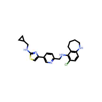 Clc1ccc2c(c1NCc1ccc(-c3csc(NCC4CC4)n3)cn1)CCCCN2